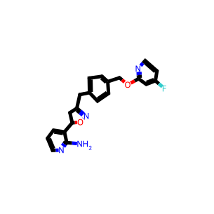 Nc1ncccc1C1CC(Cc2ccc(COc3cc(F)ccn3)cc2)=NO1